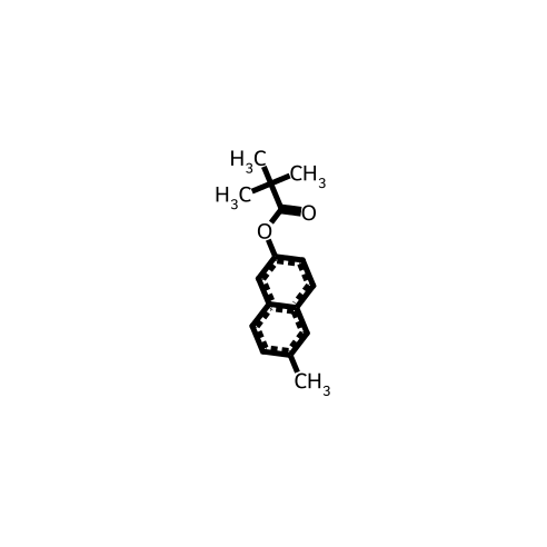 Cc1ccc2cc(OC(=O)C(C)(C)C)ccc2c1